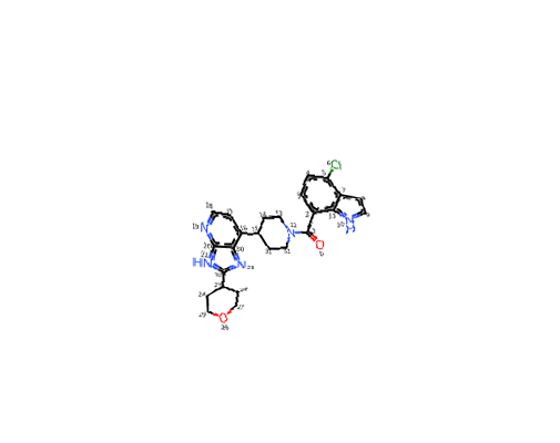 O=C(c1ccc(Cl)c2cc[nH]c12)N1CCC(c2ccnc3[nH]c(C4CCOCC4)nc23)CC1